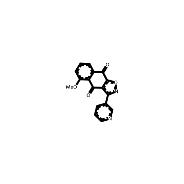 COc1cccc2c1C(=O)c1c(-c3cccnc3)noc1C2=O